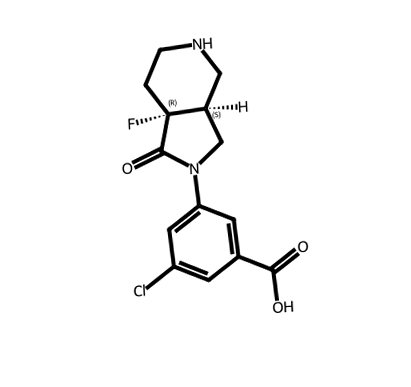 O=C(O)c1cc(Cl)cc(N2C[C@@H]3CNCC[C@]3(F)C2=O)c1